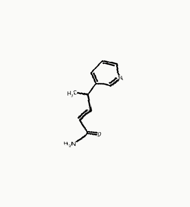 CC(C=CC(N)=O)c1cccnc1